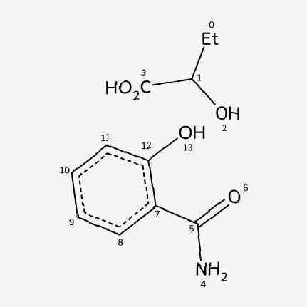 CCC(O)C(=O)O.NC(=O)c1ccccc1O